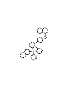 c1ccc(C2(c3ccc4ccccc4c3)c3ccccc3-c3c(-c4ccc5c(c4)-c4cccc6cccc(c46)S5)cccc32)cc1